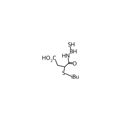 CCC(C)SC(CC(=O)O)C(=O)NBS